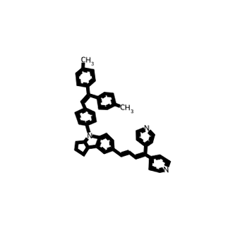 Cc1ccc(C(=Cc2ccc(N3c4ccc(/C=C/C=C(c5ccncc5)c5ccncc5)cc4C4CCCC43)cc2)c2ccc(C)cc2)cc1